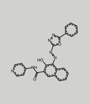 O=C(Nc1ccncc1)c1cc2ccccc2c(/N=N/c2nnc(-c3ccccc3)o2)c1O